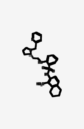 O=C(O)c1c(NS(=O)(=O)c2ccccc2NCC[C@@H]2CCCN2Cc2ccccn2)ccc2c1CCCC2